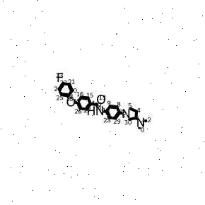 CN(C)C1CCN(c2ccc(NC(=O)c3ccc(Oc4ccc(F)cc4)cc3)cc2)C1